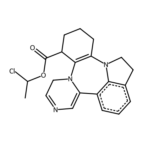 CC(Cl)OC(=O)C1CCCC2=C1N1CC=NC=C1c1cccc3c1N2CC3